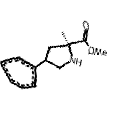 COC(=O)[C@]1(C)CC(c2ccccc2)CN1